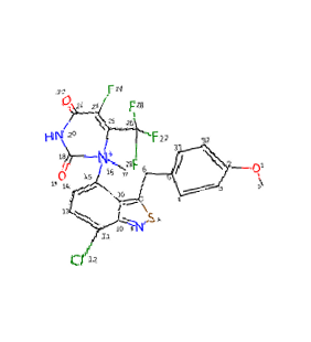 COc1ccc(Cc2snc3c(Cl)ccc([N+]4(C)C(=O)NC(=O)C(F)=C4C(F)(F)F)c23)cc1